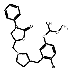 COC(C)Oc1ccc(Br)c(CC2CCN(CC3CN(c4ccccc4)C(=O)O3)C2)c1